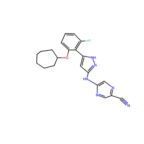 N#Cc1cnc(Nc2cc(-c3c(F)cccc3OC3CCCCCC3)[nH]n2)cn1